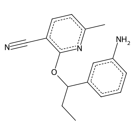 CCC(Oc1nc(C)ccc1C#N)c1cccc(N)c1